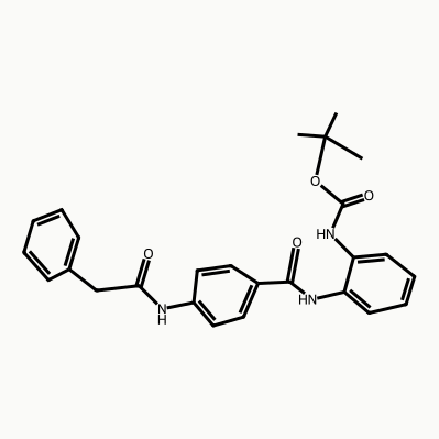 CC(C)(C)OC(=O)Nc1ccccc1NC(=O)c1ccc(NC(=O)Cc2ccccc2)cc1